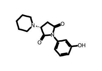 O=C1C[C@@H](N2CCCCC2)C(=O)N1c1cccc(O)c1